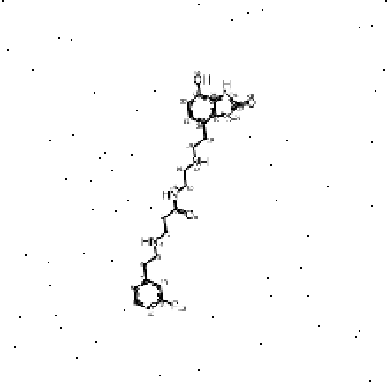 O=C(CCNCCc1cccc(F)c1)NCCNCCc1ccc(O)c2[nH]c(=O)sc12